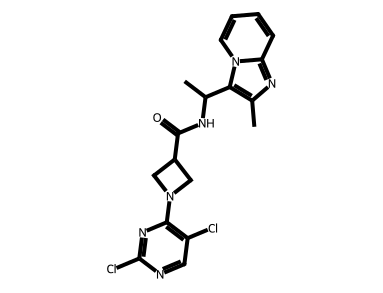 Cc1nc2ccccn2c1C(C)NC(=O)C1CN(c2nc(Cl)ncc2Cl)C1